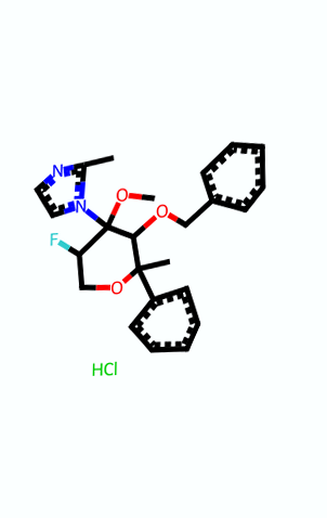 COC1(n2ccnc2C)C(F)COC(C)(c2ccccc2)C1OCc1ccccc1.Cl